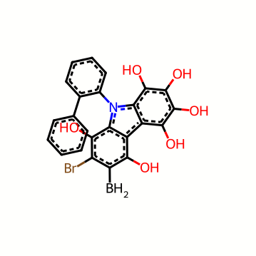 Bc1c(Br)c(O)c2c(c1O)c1c(O)c(O)c(O)c(O)c1n2-c1ccccc1-c1ccccc1